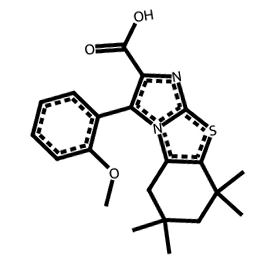 COc1ccccc1-c1c(C(=O)O)nc2sc3c(n12)CC(C)(C)CC3(C)C